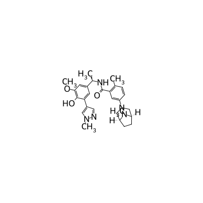 COc1cc([C@@H](C)NC(=O)c2cc(N3C[C@H]4CC[C@@H](C3)N4C)ccc2C)cc(-c2cnn(C)c2)c1O